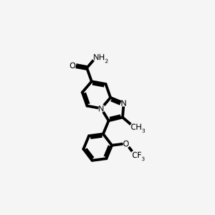 Cc1nc2cc(C(N)=O)ccn2c1-c1ccccc1OC(F)(F)F